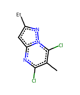 CCc1cc2nc(Cl)c(C)c(Cl)n2n1